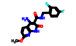 COc1ccc2c(N)c(C(=O)NCc3ccc(F)cc3F)c(=O)[nH]c2n1